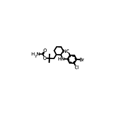 CC(C)(CC1CCCCC1Nc1cc(Cl)c(Br)cc1C#N)OC(N)=O